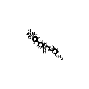 Cc1ccc(N)nc1CCc1nc2cc(-c3ccc(S(=O)(=O)N(C)C)cc3)cnc2[nH]1